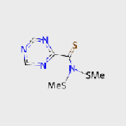 CSN(SC)C(=S)c1ncncn1